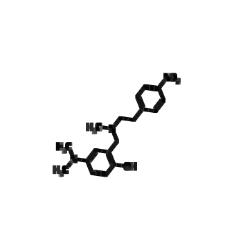 CN(CCc1ccc([N+](=O)[O-])cc1)Cc1cc(N(C)C)ccc1O